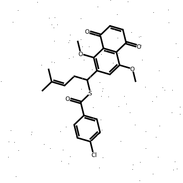 COc1cc(C(CC=C(C)C)SC(=O)c2ccc(Cl)cc2)c(OC)c2c1C(=O)C=CC2=O